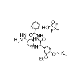 CCOc1cc(C(Nc2ccc(C(=N)N)cc2)C(=O)NNC(=O)c2ccccn2)ccc1OCCN(C)C.O=C(O)C(F)(F)F